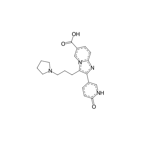 O=C(O)c1ccc2nc(-c3ccc(=O)[nH]c3)c(CCCN3CCCC3)n2c1